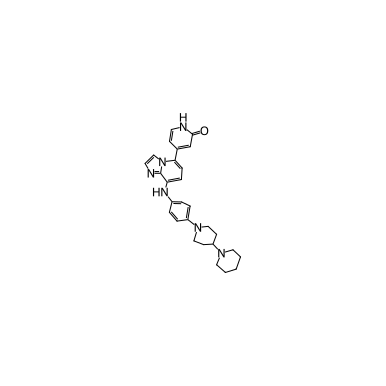 O=c1cc(-c2ccc(Nc3ccc(N4CCC(N5CCCCC5)CC4)cc3)c3nccn23)cc[nH]1